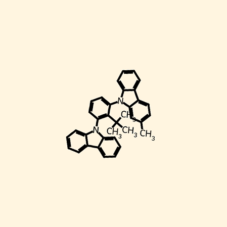 Cc1ccc2c3ccccc3n(-c3cccc(-n4c5ccccc5c5ccccc54)c3C(C)(C)C)c2c1